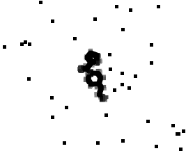 O=C(c1cccs1)N1CCC(CCBr)CC1